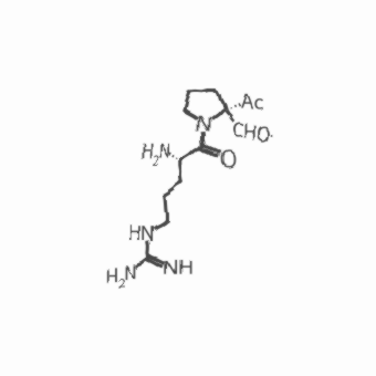 CC(=O)[C@@]1([C]=O)CCCN1C(=O)[C@@H](N)CCCNC(=N)N